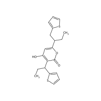 CCC(Cc1cccs1)c1cc(O)c(C(CC)c2cccs2)c(=O)o1